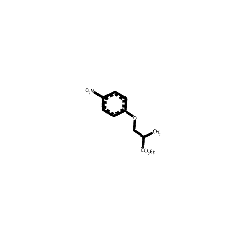 CCOC(=O)C(C)COc1ccc([N+](=O)[O-])cc1